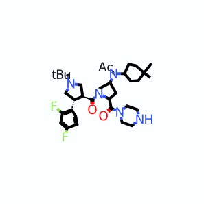 CC(=O)N(C1CCC(C)(C)CC1)C1CC(C(=O)N2CCNCC2)N(C(=O)[C@@H]2CN(C(C)(C)C)C[C@H]2c2ccc(F)cc2F)C1